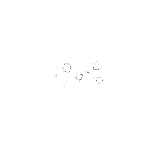 CCCCc1ncc(/C=C(\Cc2cccs2)c2nnn[nH]2)n1Cc1ccc(OC)c(C)c1